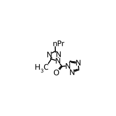 CCCc1nc(C)n(C(=O)n2cncn2)n1